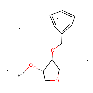 CCO[C@H]1COCC1OCc1ccccc1